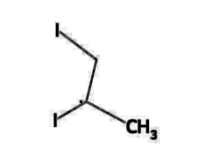 C[C](I)CI